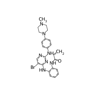 C=CC(=O)Nc1ccccc1Nc1nc(Nc2ccc(N3CCN(C)CC3)cc2)ncc1Br